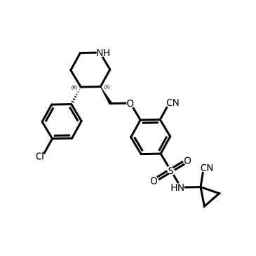 N#Cc1cc(S(=O)(=O)NC2(C#N)CC2)ccc1OC[C@@H]1CNCC[C@H]1c1ccc(Cl)cc1